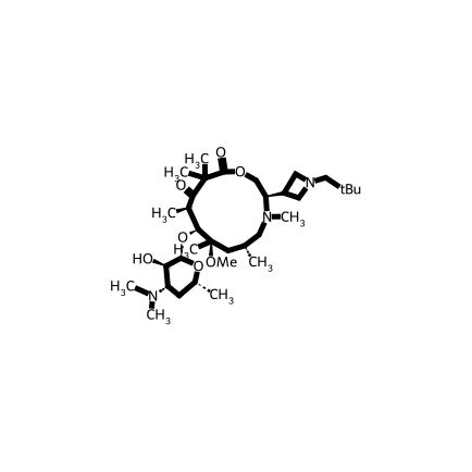 CO[C@]1(C)C[C@@H](C)CN(C)[C@H](C2CN(CC(C)(C)C)C2)COC(=O)C(C)(C)C(=O)[C@H](C)[C@H]1O[C@@H]1O[C@H](C)C[C@H](N(C)C)[C@H]1O